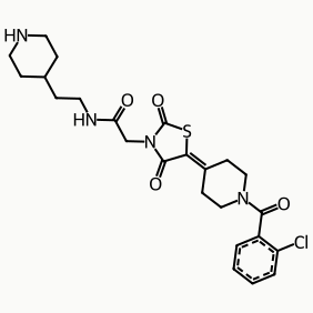 O=C(CN1C(=O)SC(=C2CCN(C(=O)c3ccccc3Cl)CC2)C1=O)NCCC1CCNCC1